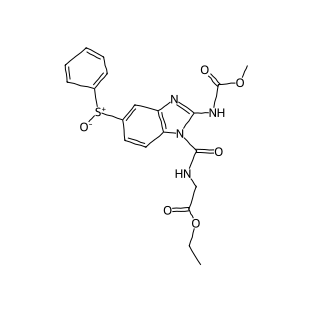 CCOC(=O)CNC(=O)n1c(NC(=O)OC)nc2cc([S+]([O-])c3ccccc3)ccc21